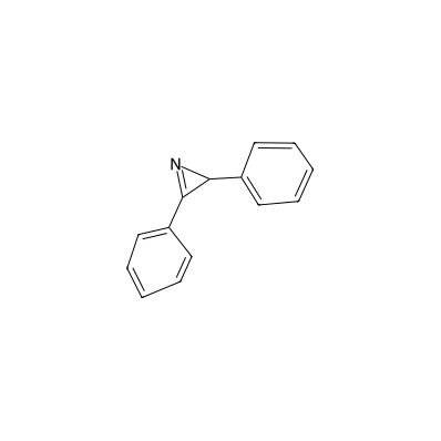 c1ccc(C2=NC2c2ccccc2)cc1